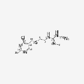 CN=C(NC#N)NCCSCc1cnc(C)nc1Cl